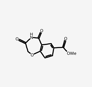 COC(=O)c1ccc2c(c1)C(=O)NC(=O)CO2